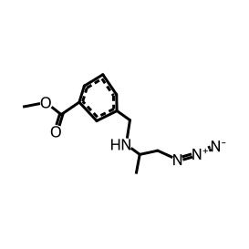 COC(=O)c1cccc(CNC(C)CN=[N+]=[N-])c1